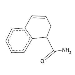 NC(=O)C1CC=Cc2ccccc21